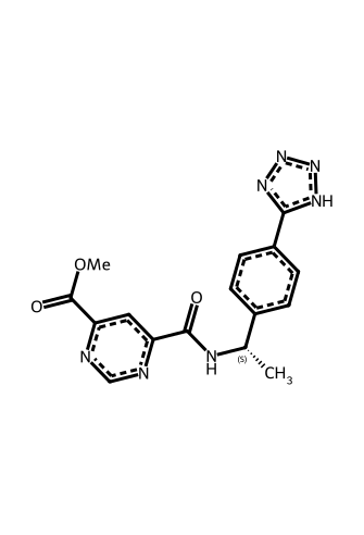 COC(=O)c1cc(C(=O)N[C@@H](C)c2ccc(-c3nnn[nH]3)cc2)ncn1